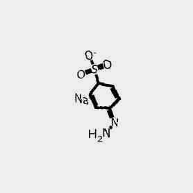 NN=C1C=CC(S(=O)(=O)[O-])C=C1.[Na+]